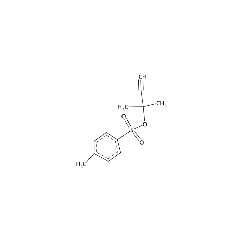 C#CC(C)(C)OS(=O)(=O)c1ccc(C)cc1